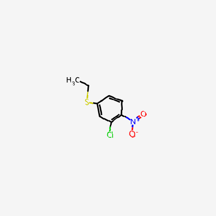 CCSc1ccc([N+](=O)[O-])c(Cl)c1